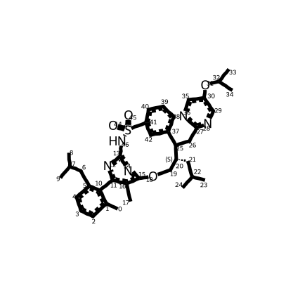 Cc1cccc(CC(C)C)c1-c1nc2nc(c1C)OC[C@@H](CC(C)C)C(Cc1ncc(OC(C)C)cn1)c1cccc(c1)S(=O)(=O)N2